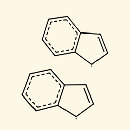 [CH]1C=Cc2ccccc21.[CH]1C=Cc2ccccc21